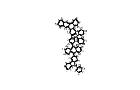 c1ccc(-n2c3ccccc3c3cc(-c4c5ccccc5c(-c5ccc6c(c5)[Si](c5ccccc5)(c5ccccc5)c5cc7c8ccccc8c8cc9ccccc9cc8c7cc5-6)c5ccccc45)ccc32)cc1